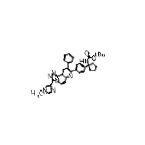 Cn1cnc(-c2nnc3c4cc(-c5ccccc5)c(-c5ccc(C6(NC(=O)OC(C)(C)C)CCCC6)cc5)nc4ccn23)c1